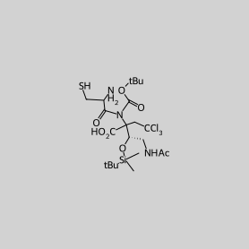 CC(=O)NC[C@H](O[Si](C)(C)C(C)(C)C)C(CC(Cl)(Cl)Cl)(C(=O)O)N(C(=O)OC(C)(C)C)C(=O)C(N)CS